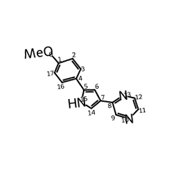 COc1ccc(-c2cc(-c3cnccn3)c[nH]2)cc1